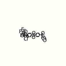 C[C@@](O)(C(=O)Nc1ccc(S(=O)(=O)c2ccc(C(=O)N3CCOCC3)cc2)cc1Cl)C(F)(F)F